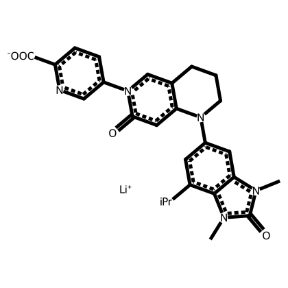 CC(C)c1cc(N2CCCc3cn(-c4ccc(C(=O)[O-])nc4)c(=O)cc32)cc2c1n(C)c(=O)n2C.[Li+]